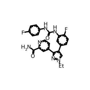 CCn1cc(-c2ccc(F)c(NC(=O)Nc3ccc(F)cc3)c2)c(-c2ccnc(C(N)=O)c2)n1